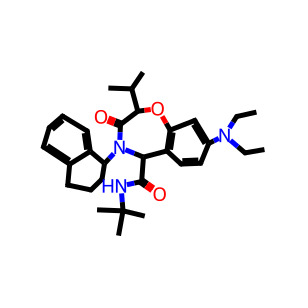 CCN(CC)c1ccc2c(c1)OC(C(C)C)C(=O)N(C1CCCc3ccccc31)C2C(=O)NC(C)(C)C